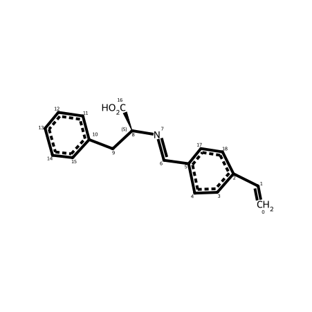 C=Cc1ccc(C=N[C@@H](Cc2ccccc2)C(=O)O)cc1